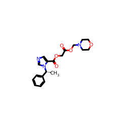 C[C@H](c1ccccc1)n1cncc1C(=O)OCC(=O)OCN1CCOCC1